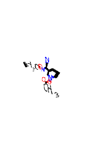 CON=C(C#N)C1=CCCN(OC(C)=O)C1